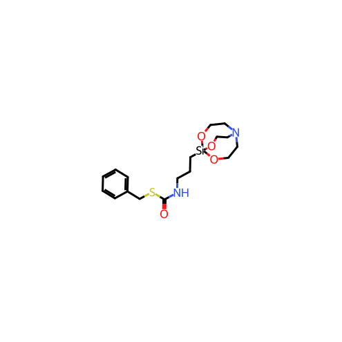 O=C(NCCC[Si]12OCCN(CCO1)CCO2)SCc1ccccc1